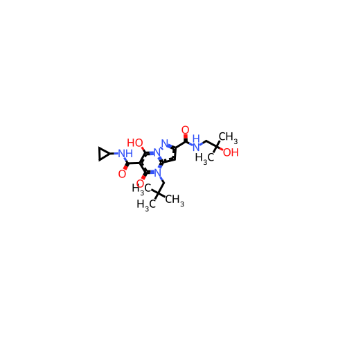 CC(C)(C)Cn1c(=O)c(C(=O)NC2CC2)c(O)n2nc(C(=O)NCC(C)(C)O)cc12